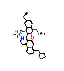 Cc1c2c(c(CC(C)(C)C)c3ccc(CC(C)C)cc13)Oc1cc3c(CC4CCCC4)cccc3c3cc[n+](C)c-2c13